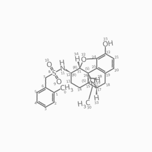 Cc1ccccc1CS(=O)(=O)N[C@@H]1CC[C@@]2(O)[C@H]3Cc4ccc(O)c5c4[C@@]2(CCN3C)[C@H]1O5